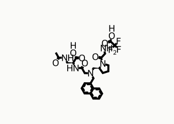 CC(=O)NC[C@H](NC(=O)CN(Cc1cccc2ccccc12)C[C@@H]1CCCN1C(=O)CN)C(=O)O.O=C(O)C(F)(F)F